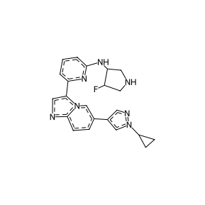 FC1CNCC1Nc1cccc(-c2cnc3ccc(-c4cnn(C5CC5)c4)cn23)n1